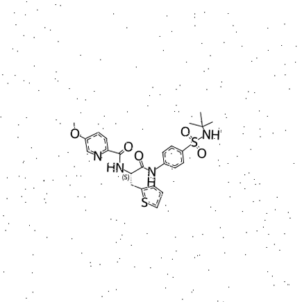 COc1ccc(C(=O)N[C@@H](Cc2cccs2)C(=O)Nc2ccc(S(=O)(=O)NC(C)(C)C)cc2)nc1